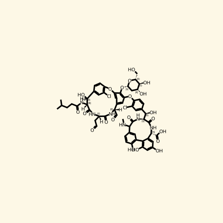 CNC1C(=O)N[C@@H]([C@H](O)c2ccc(Oc3cc4cc(c3O[C@H]3C[C@@H](O)[C@H](O)[C@@H](CO)O3)Oc3ccc(cc3Cl)[C@@H](O)[C@@H](NC(=O)CCC(C)C)C(=O)N[C@@H](CC=O)C(=O)N[C@H]4C=O)c(Cl)c2)C(=O)N[C@H](C(=O)O)c2cc(O)cc(O)c2-c2cc1ccc2O